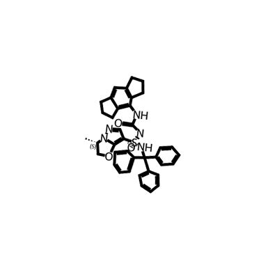 C[C@H]1COc2c([S@@](=O)(=NC(=O)Nc3c4c(cc5c3CCC5)CCC4)NC(c3ccccc3)(c3ccccc3)c3ccccc3)cnn21